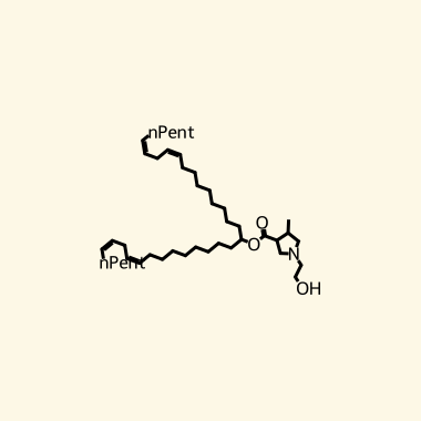 CCCCC/C=C\C/C=C\CCCCCCCCC(CCCCCCCC/C=C\C/C=C\CCCCC)OC(=O)C1CN(CCO)CC1C